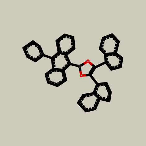 c1ccc(-c2c3ccccc3c(B3OC(c4cccc5ccccc45)=C(c4cccc5ccccc45)O3)c3ccccc23)cc1